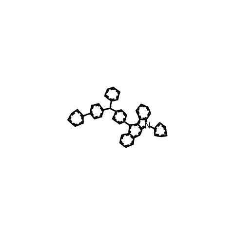 c1ccc(-c2ccc(C(c3ccccc3)c3ccc(-c4c5ccccc5cc5c4c4ccccc4n5-c4ccccc4)cc3)cc2)cc1